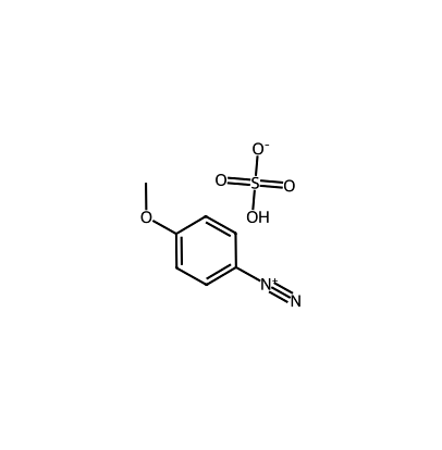 COc1ccc([N+]#N)cc1.O=S(=O)([O-])O